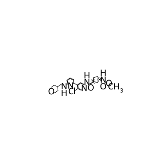 COC(=O)N[C@@H]1CC[C@H](C(=O)Nc2cc(-c3cccc(NCC4CCOCC4)n3)c(Cl)cn2)C1